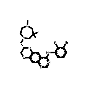 CN1CCN(C[C@H]2COc3cc4ncnc(Nc5cccc(Br)c5F)c4cc3O2)CC(F)(F)C1